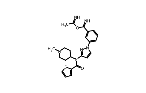 CC(=N)OC(=N)c1cccc(-n2ccc(N(C(=O)c3cccs3)C3CCN(C)CC3)n2)c1